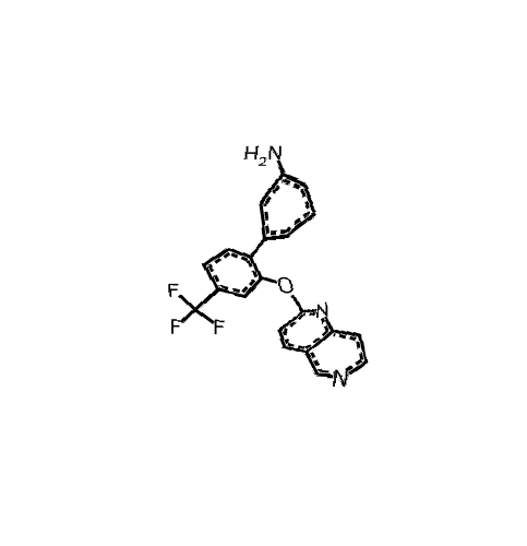 Nc1cccc(-c2ccc(C(F)(F)F)cc2Oc2ccc3cnccc3n2)c1